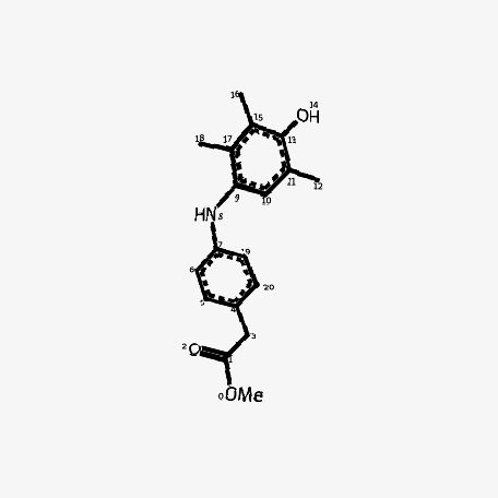 COC(=O)Cc1ccc(Nc2cc(C)c(O)c(C)c2C)cc1